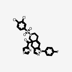 O=C(c1cscn1)C12Cc3cnn(-c4ccc(F)cc4)c3C=C1CCN(S(=O)(=O)c1ccc(Cl)c(Cl)c1)C2